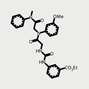 CCOC(=O)c1cccc(NC(=O)NCC(=O)N(CC(=O)N(C)c2ccccc2)c2cccc(OC)c2)c1